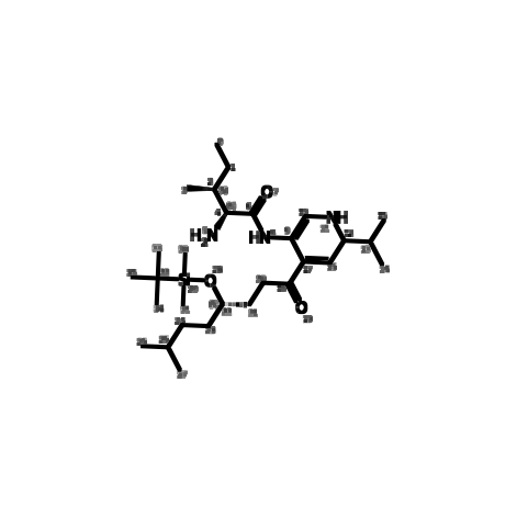 CC[C@H](C)[C@H](N)C(=O)NC1=CN[C](C(C)C)C=C1C(=O)CC[C@H](CCC(C)C)O[Si](C)(C)C(C)(C)C